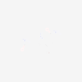 NC(=O)c1ccc(Br)c2c3c([nH]c12)CC(C(N)=O)CC3